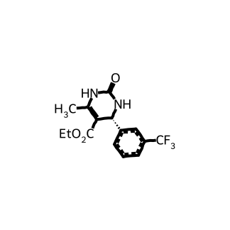 CCOC(=O)C1=C(C)NC(=O)N[C@@H]1c1cccc(C(F)(F)F)c1